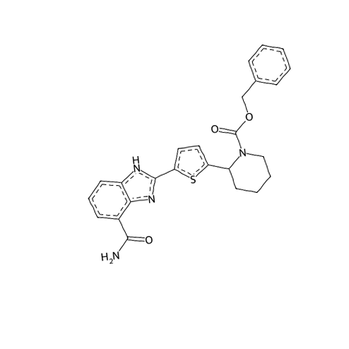 NC(=O)c1cccc2[nH]c(-c3ccc(C4CCCCN4C(=O)OCc4ccccc4)s3)nc12